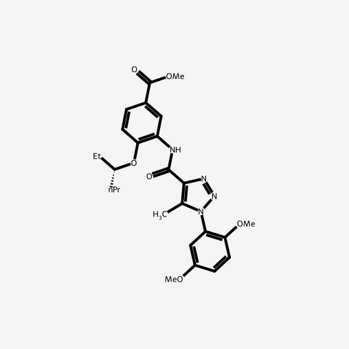 CCC[C@H](CC)Oc1ccc(C(=O)OC)cc1NC(=O)c1nnn(-c2cc(OC)ccc2OC)c1C